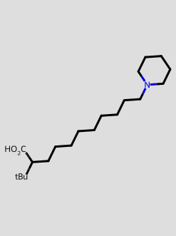 CC(C)(C)C(CCCCCCCCCN1CCCCC1)C(=O)O